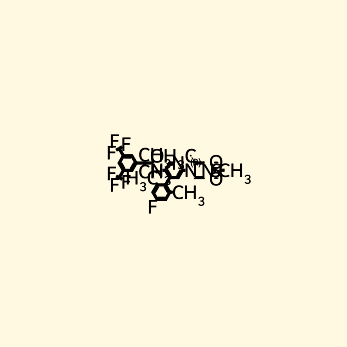 Cc1cc(F)ccc1-c1cc(N2CCN(S(C)(=O)=O)C[C@H]2C)ncc1N(C)C(=O)C(C)(C)c1cc(C(F)(F)F)cc(C(F)(F)F)c1